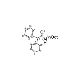 CCCCCCC[CH2][AlH][C](=O)C(c1ccccc1)c1ccccc1